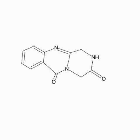 O=C1Cn2c(nc3ccccc3c2=O)CN1